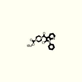 CC(C)(C)OC(=O)N1CCN(C(=O)c2c(Cl)n(-c3ccccc3)c3ncccc23)CC1